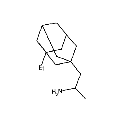 CCC12CC3CC(C1)CC(CC(C)N)(C3)C2